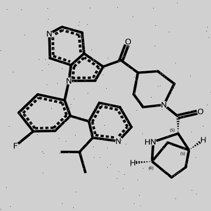 CC(C)c1ncccc1-c1cc(F)ccc1-n1cc(C(=O)C2CCN(C(=O)[C@H]3N[C@@H]4CC[C@H]3C4)CC2)c2ccncc21